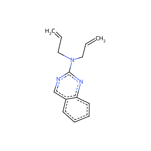 C=CCN(CC=C)c1ncc2ccccc2n1